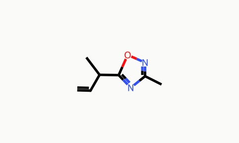 C=CC(C)c1nc(C)no1